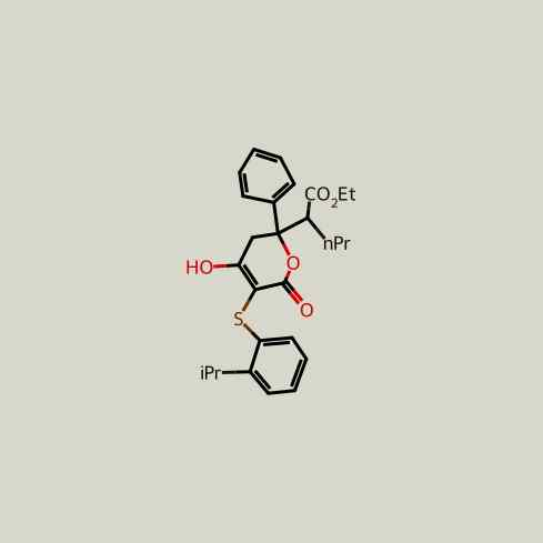 CCCC(C(=O)OCC)C1(c2ccccc2)CC(O)=C(Sc2ccccc2C(C)C)C(=O)O1